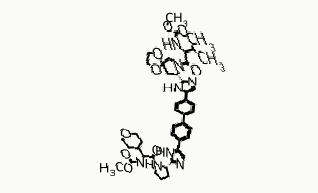 COC(=O)N[C@H](C(=O)N1CC2(C[C@H]1c1ncc(-c3ccc(-c4ccc(-c5cnc([C@@H]6CCCN6C(=O)[C@@H](NC(=O)OC)C6CCOCC6)[nH]5)cc4)cc3)[nH]1)OCCO2)C(C)C